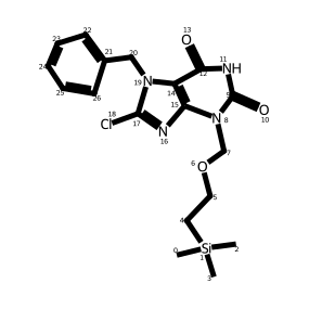 C[Si](C)(C)CCOCn1c(=O)[nH]c(=O)c2c1nc(Cl)n2Cc1ccccc1